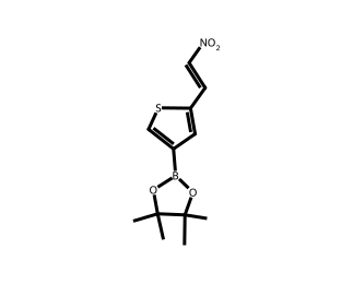 CC1(C)OB(c2csc(/C=C/[N+](=O)[O-])c2)OC1(C)C